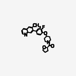 Cc1cc2cccnc2cc1-c1ccc(OC2CCN(C(=O)[C@H]3CCCO3)CC2)c(F)c1